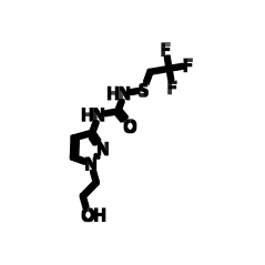 O=C(NSCC(F)(F)F)Nc1ccn(CCO)n1